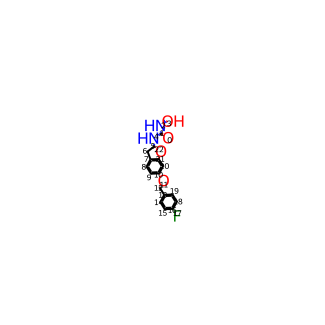 O=C(NO)NC1Cc2ccc(OCc3ccc(F)cc3)cc2O1